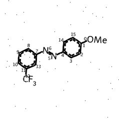 COc1ccc(N=Nc2cccc(C(F)(F)F)c2)cc1